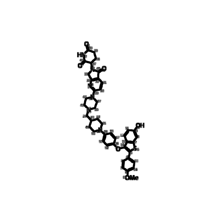 COc1ccc(-c2sc3cc(O)ccc3c2Oc2ccc(N3CCC(CN4CCN(c5ccc6c(n5)CN(C5CCC(=O)NC5=O)C6=O)CC4)CC3)cc2)cc1